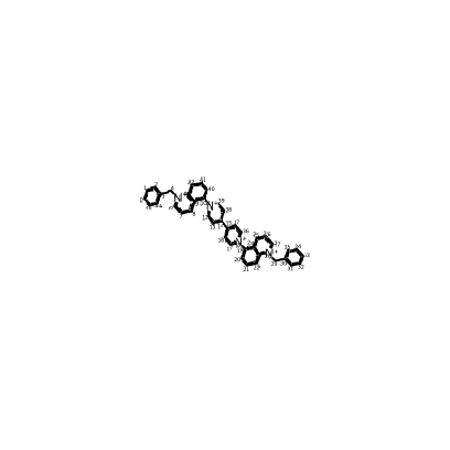 c1ccc(C[n+]2cccc3c(-[n+]4ccc(-c5cc[n+](-c6cccc7c6ccc[n+]7Cc6ccccc6)cc5)cc4)cccc32)cc1